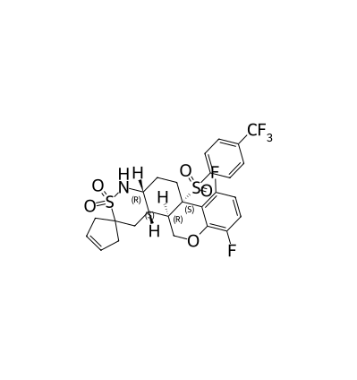 O=S1(=O)N[C@@H]2CC[C@@]3(S(=O)(=O)c4ccc(C(F)(F)F)cc4)c4c(F)ccc(F)c4OC[C@H]3[C@@H]2CC12CC=CC2